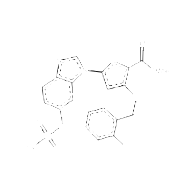 COC(=O)c1sc(-n2cnc3ccc(OS(=O)(=O)C(F)(F)F)cc32)cc1O[C@H](C)c1ccccc1Cl